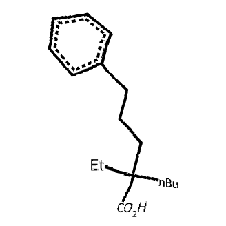 CCCCC(CC)(CCCc1ccccc1)C(=O)O